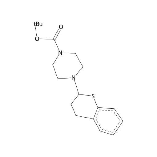 CC(C)(C)OC(=O)N1CCN(C2CCc3ccccc3S2)CC1